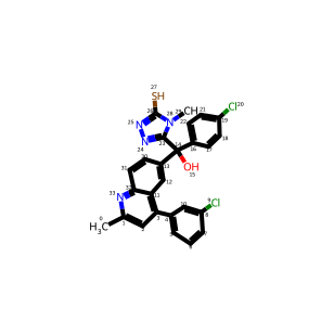 Cc1cc(-c2cccc(Cl)c2)c2cc(C(O)(c3ccc(Cl)cc3)c3nnc(S)n3C)ccc2n1